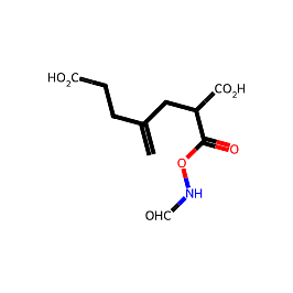 C=C(CCC(=O)O)CC(C(=O)O)C(=O)ONC=O